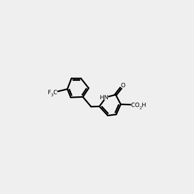 O=C(O)c1ccc(Cc2cccc(C(F)(F)F)c2)[nH]c1=O